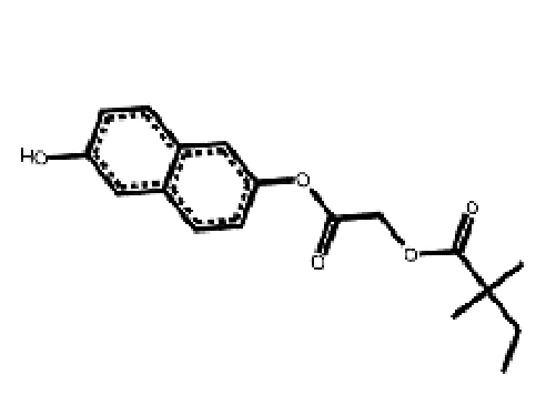 CCC(C)(C)C(=O)OCC(=O)Oc1ccc2cc(O)ccc2c1